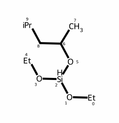 CCO[SiH](OCC)OC(C)CC(C)C